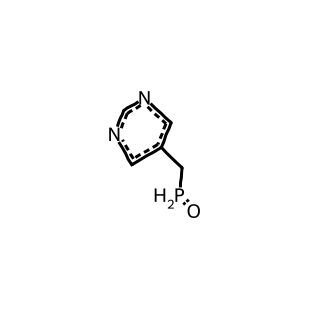 O=[PH2]Cc1cncnc1